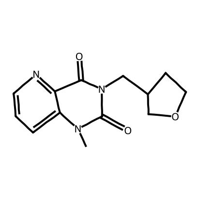 Cn1c(=O)n(CC2CCOC2)c(=O)c2ncccc21